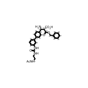 CC(=O)NCCNC(=O)Nc1cccc(-c2ccc([C@@H](N)[C@H](C(=O)O)C(=O)OCc3ccccc3)cc2)c1